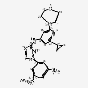 COc1cc(OC)cc(-n2cnc(Nc3cc(C4CC4)nc(N4CCOCC4)c3)n2)c1